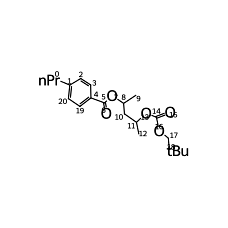 CCCc1ccc(C(=O)OC(C)CC(C)OC(=O)OCC(C)(C)C)cc1